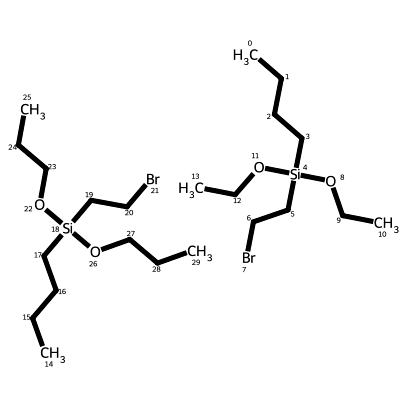 CCCC[Si](CCBr)(OCC)OCC.CCCC[Si](CCBr)(OCCC)OCCC